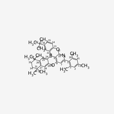 Cc1cc(C)c(-c2cc3c4c(n2)Oc2ccc(C(C)(C)C)cc2B4c2cc4c(cc2O3)C(C)(C)CCC4(C)C)c(C)c1